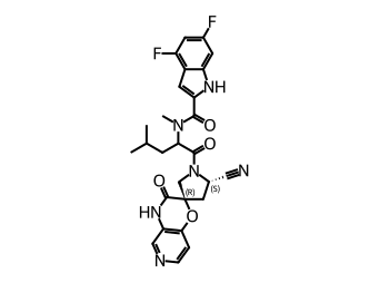 CC(C)CC(C(=O)N1C[C@@]2(C[C@H]1C#N)Oc1ccncc1NC2=O)N(C)C(=O)c1cc2c(F)cc(F)cc2[nH]1